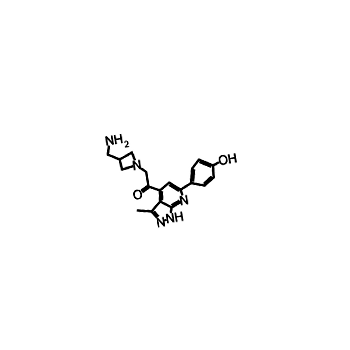 Cc1n[nH]c2nc(-c3ccc(O)cc3)cc(C(=O)CN3CC(CN)C3)c12